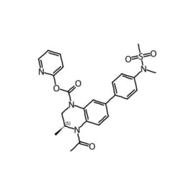 CC(=O)N1c2ccc(-c3ccc(N(C)S(C)(=O)=O)cc3)cc2N(C(=O)Oc2ccccn2)C[C@@H]1C